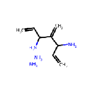 C=CC(N)C(=C)C(N)C=C.N.N